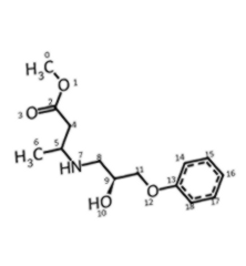 COC(=O)CC(C)NC[C@H](O)COc1ccccc1